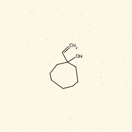 C=CC1(O)CCCCCCC1